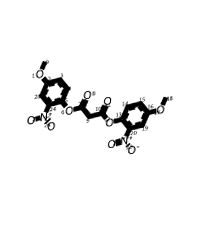 COc1ccc(OC(=O)CC(=O)Oc2ccc(OC)cc2[N+](=O)[O-])c([N+](=O)[O-])c1